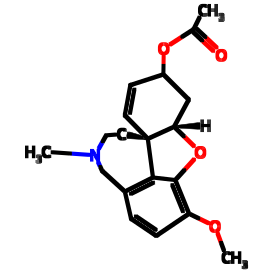 COc1ccc2c3c1O[C@H]1CC(OC(C)=O)C=C[C@@]31CCN(C)C2